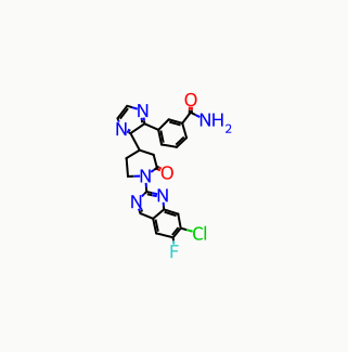 NC(=O)c1cccc(-c2nccnc2C2CCN(c3ncc4cc(F)c(Cl)cc4n3)C(=O)C2)c1